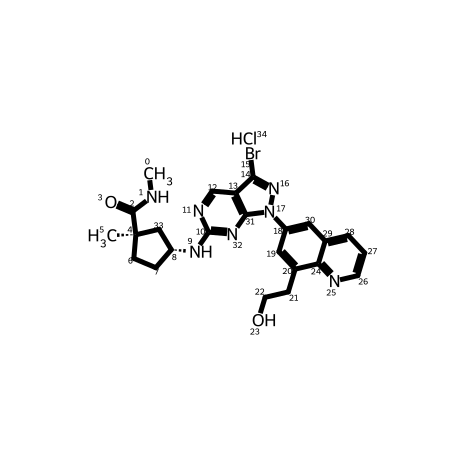 CNC(=O)[C@]1(C)CC[C@@H](Nc2ncc3c(Br)nn(-c4cc(CCO)c5ncccc5c4)c3n2)C1.Cl